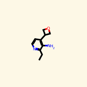 CCc1nccc(C2COC2)c1N